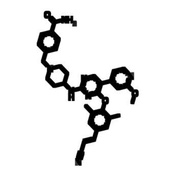 COc1cc(-c2cnc(NC3CCN(Cc4ccc(C(N)=O)cc4)CC3)nc2Oc2c(C)cc(C=CC#N)cc2C)ccn1